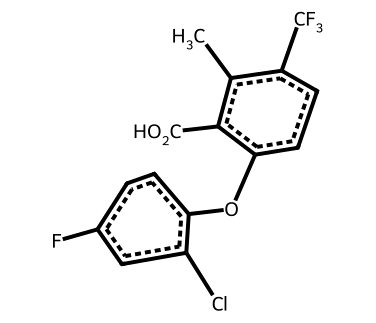 Cc1c(C(F)(F)F)ccc(Oc2ccc(F)cc2Cl)c1C(=O)O